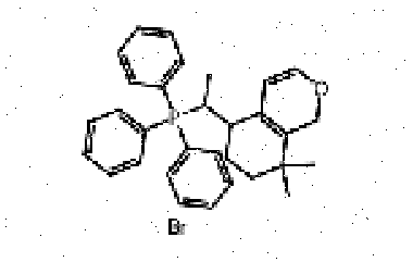 CC(C1CCC(C)(C)C2=C1C=COC2)[P+](c1ccccc1)(c1ccccc1)c1ccccc1.[Br-]